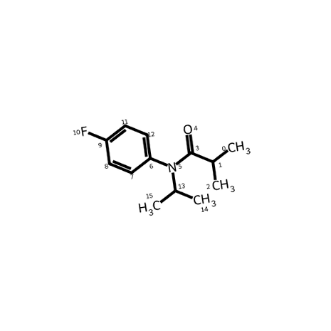 CC(C)C(=O)N(c1ccc(F)cc1)C(C)C